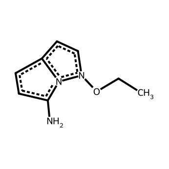 CCOn1ccc2ccc(N)n21